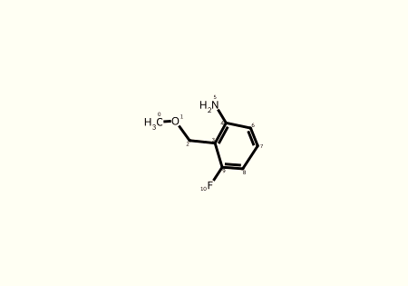 COCc1c(N)cccc1F